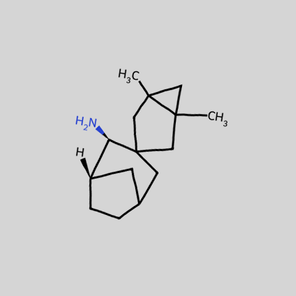 CC12CC3(CC4CC[C@@H](C4)[C@H]3N)CC1(C)C2